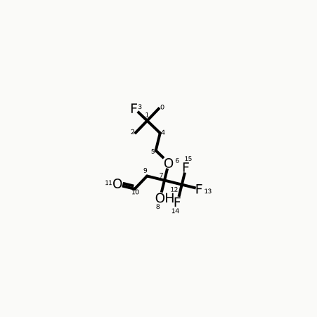 CC(C)(F)CCOC(O)(CC=O)C(F)(F)F